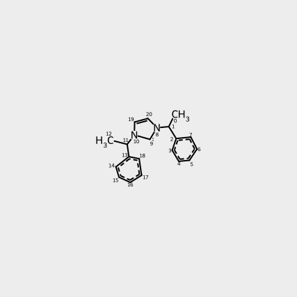 CC(c1ccccc1)N1[C]N(C(C)c2ccccc2)C=C1